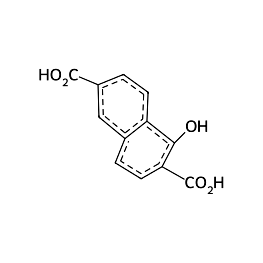 O=C(O)c1ccc2c(O)c(C(=O)O)ccc2c1